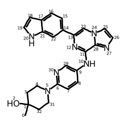 CC1(O)CCN(c2ccc(Nc3nc(-c4ccc5cc[nH]c5c4)cn4ccnc34)cn2)CC1